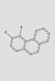 Fc1ccc2ccc3ccccc3c2c1F